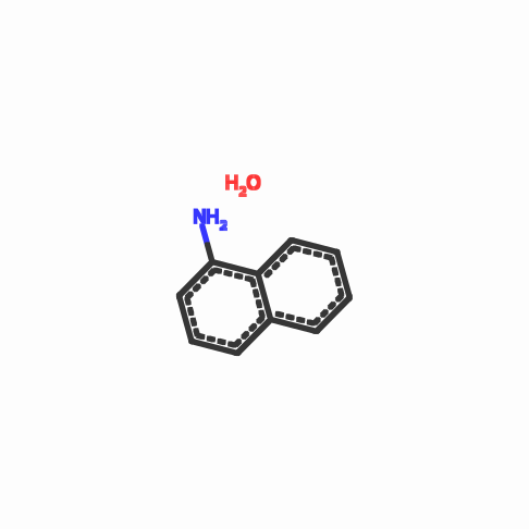 Nc1cccc2ccccc12.O